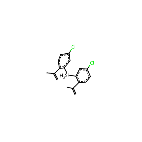 C=C(C)c1ccc(Cl)cc1[SiH2]c1cc(Cl)ccc1C(=C)C